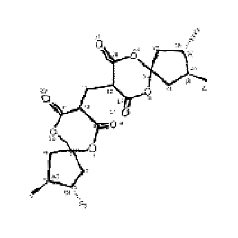 C[C@H]1CC2(C[C@@H]1C)OC(=O)C(CC1C(=O)OC3(C[C@H](C)[C@@H](C)C3)OC1=O)C(=O)O2